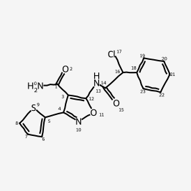 NC(=O)c1c(-c2cccs2)noc1NC(=O)C(Cl)c1ccccc1